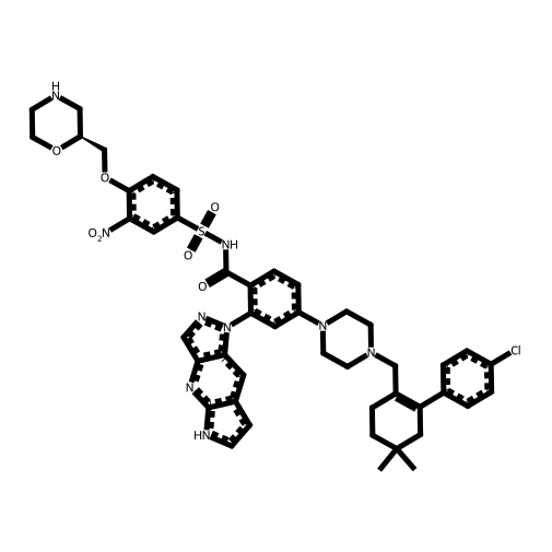 CC1(C)CCC(CN2CCN(c3ccc(C(=O)NS(=O)(=O)c4ccc(OC[C@@H]5CNCCO5)c([N+](=O)[O-])c4)c(-n4ncc5nc6[nH]ccc6cc54)c3)CC2)=C(c2ccc(Cl)cc2)C1